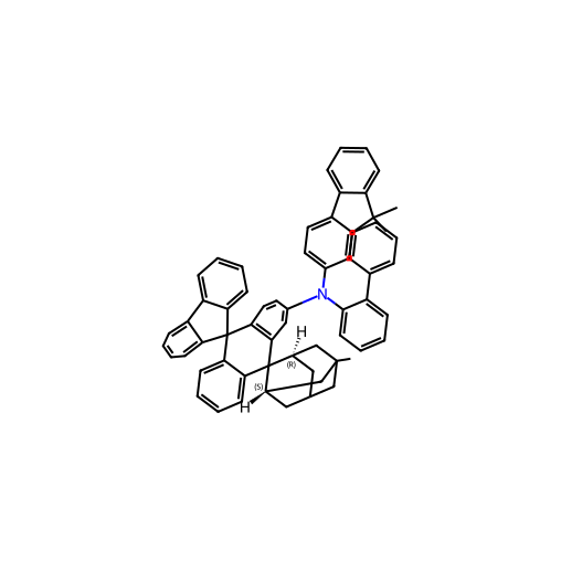 CC12CC3C[C@H](C1)C1(c4ccccc4C4(c5ccccc5-c5ccccc54)c4ccc(N(c5ccc6c(c5)C(C)(C)c5ccccc5-6)c5ccccc5-c5ccccc5)cc41)[C@@H](C3)C2